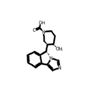 O=C(O)N1CC[C@H](O)[C@@H]([C@H]2c3ccccc3-c3cncn32)C1